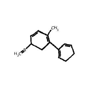 C=BC1C=CC(C)=C(C2=CCCC=C2)C1